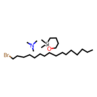 CCCCCCCCCCCCCCCCBr.CN(C)C.C[Si]1(C)CCCCO1